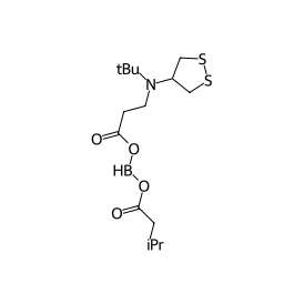 CC(C)CC(=O)OBOC(=O)CCN(C1CSSC1)C(C)(C)C